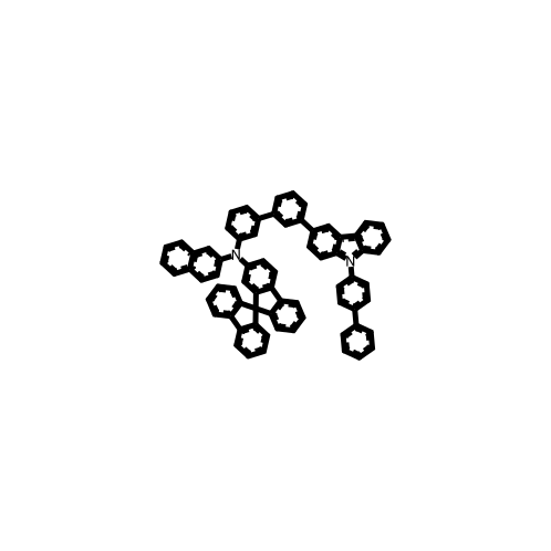 c1ccc(-c2ccc(-n3c4ccccc4c4cc(-c5cccc(-c6cccc(N(c7ccc8c(c7)C7(c9ccccc9-c9ccccc97)c7ccccc7-8)c7ccc8ccccc8c7)c6)c5)ccc43)cc2)cc1